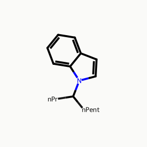 CCCCCC(CCC)n1ccc2ccccc21